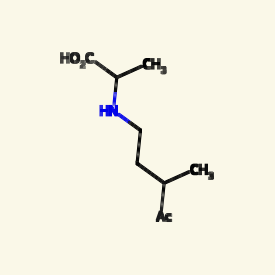 CC(=O)C(C)CCNC(C)C(=O)O